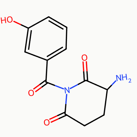 NC1CCC(=O)N(C(=O)c2cccc(O)c2)C1=O